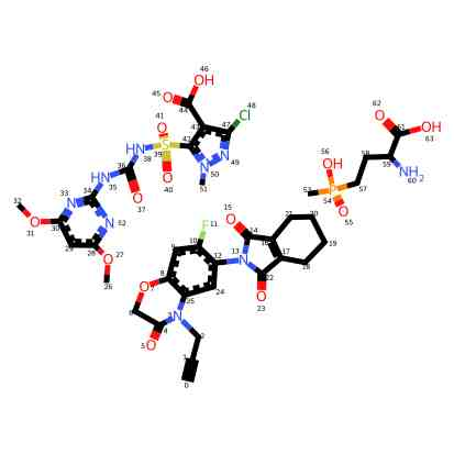 C#CCN1C(=O)COc2cc(F)c(N3C(=O)C4=C(CCCC4)C3=O)cc21.COc1cc(OC)nc(NC(=O)NS(=O)(=O)c2c(C(=O)O)c(Cl)nn2C)n1.CP(=O)(O)CCC(N)C(=O)O